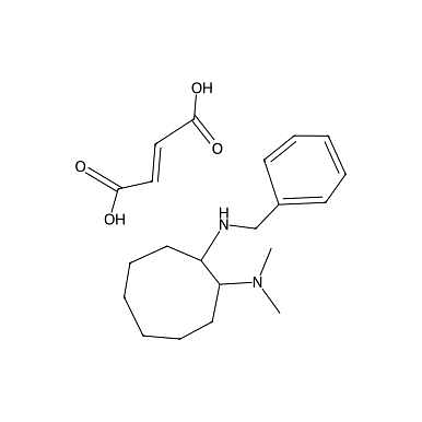 CN(C)C1CCCCCCC1NCc1ccccc1.O=C(O)C=CC(=O)O